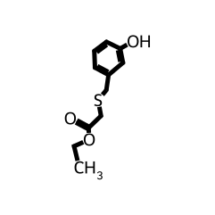 CCOC(=O)CSCc1cccc(O)c1